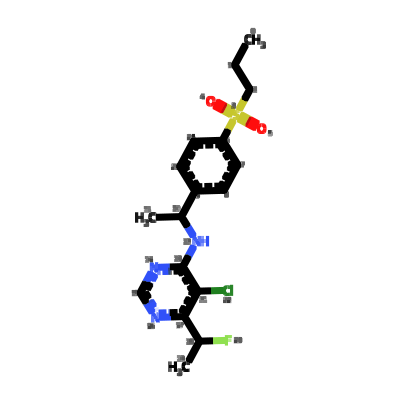 CCCS(=O)(=O)c1ccc(C(C)Nc2ncnc(C(C)F)c2Cl)cc1